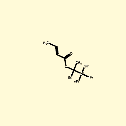 [CH2]C(CC)(OC(=O)C=CC)[N+](CCC)(CCC)CCC